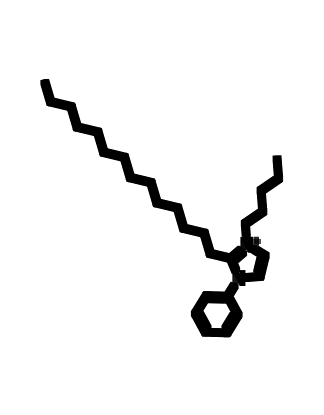 CCCCCCCCCCCCCCc1n(-c2ccccc2)cc[n+]1CCCCC